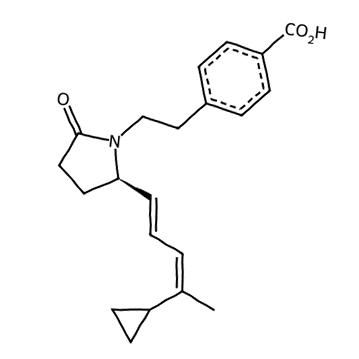 C/C(=C/C=C/[C@H]1CCC(=O)N1CCc1ccc(C(=O)O)cc1)C1CC1